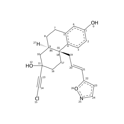 Oc1ccc2c(c1)CC[C@@H]1CC(O)(C#CCl)CC[C@@]21CC=Cc1ccno1